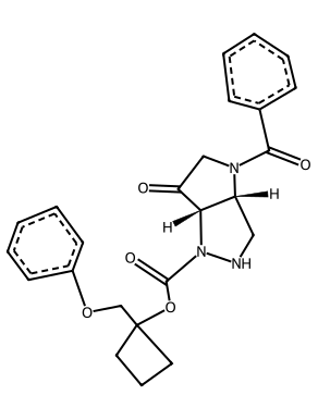 O=C1CN(C(=O)c2ccccc2)[C@@H]2CNN(C(=O)OC3(COc4ccccc4)CCC3)[C@H]12